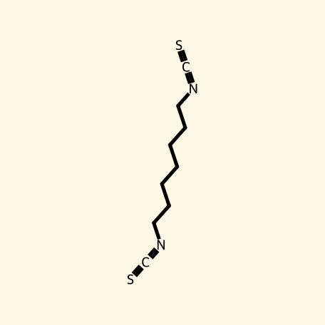 S=C=NCCCCCCCN=C=S